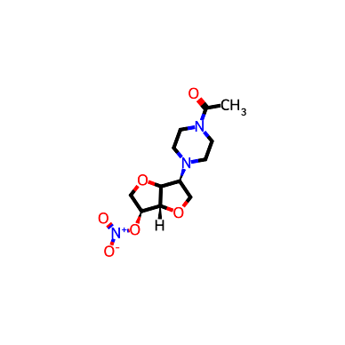 CC(=O)N1CCN([C@H]2CO[C@H]3C2OC[C@@H]3O[N+](=O)[O-])CC1